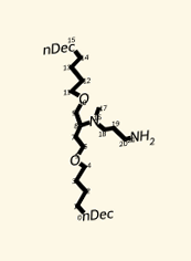 CCCCCCCCCCCCCCOCCC(COCCCCCCCCCCCCCC)N(C)CCCN